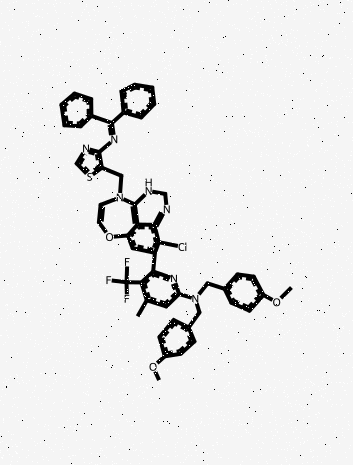 COc1ccc(CN(Cc2ccc(OC)cc2)c2cc(C)c(C(F)(F)F)c(-c3cc4c5c(c3Cl)=NCNC=5N(Cc3scnc3N=C(c3ccccc3)c3ccccc3)C=CO4)n2)cc1